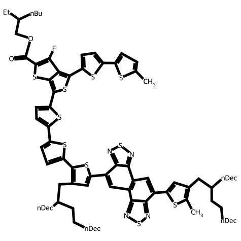 CCCCCCCCCCCCC(CCCCCCCCCC)Cc1cc(-c2cc3c(cc(-c4cc(CC(CCCCCCCCCC)CCCCCCCCCCCC)c(-c5ccc(-c6ccc(-c7sc(-c8ccc(-c9ccc(C)s9)s8)c8c(F)c(C(=O)OCC(CC)CCCC)sc78)s6)s5)s4)c4nsnc43)c3nsnc23)sc1C